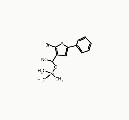 C[Si](C)(C)OC(C#N)c1cc(-c2ccccc2)sc1Br